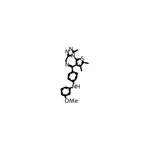 COc1cccc(Nc2ccc(C3=NCc4nnc(C)n4-c4sc(C)c(C)c43)cc2)c1